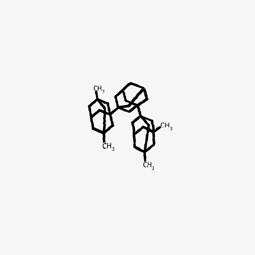 CC12CC3CC(C)(C1)CC(C14CC5CC(C1)CC(C16CC7CC(C)(CC(C)(C7)C1)C6)(C5)C4)(C3)C2